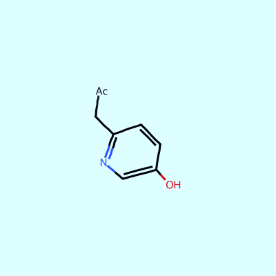 CC(=O)Cc1ccc(O)cn1